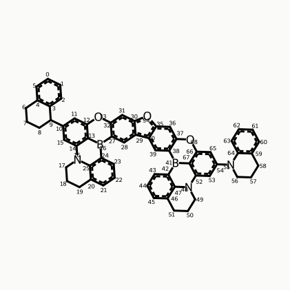 c1ccc2c(c1)CCCC2c1cc2c3c(c1)N1CCCc4cccc(c41)B3c1cc3c(cc1O2)oc1cc2c(cc13)B1c3cccc4c3N(CCC4)c3cc(N4CCCc5ccccc54)cc(c31)O2